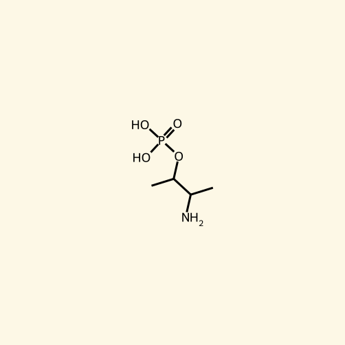 CC(N)C(C)OP(=O)(O)O